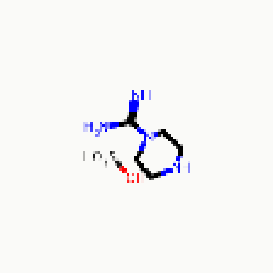 N=C(N)N1CCNCC1.O=S(=O)(O)O